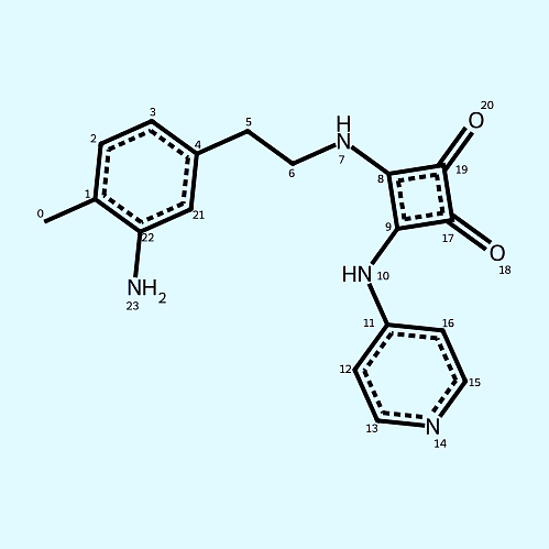 Cc1ccc(CCNc2c(Nc3ccncc3)c(=O)c2=O)cc1N